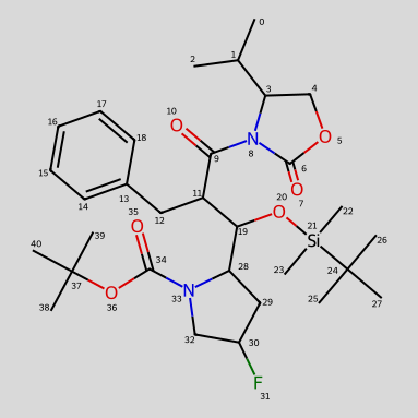 CC(C)C1COC(=O)N1C(=O)C(Cc1ccccc1)C(O[Si](C)(C)C(C)(C)C)C1CC(F)CN1C(=O)OC(C)(C)C